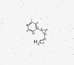 C=CC1CC1c1ccccc1